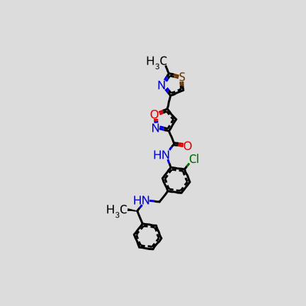 Cc1nc(-c2cc(C(=O)Nc3cc(CN[C@H](C)c4ccccc4)ccc3Cl)no2)cs1